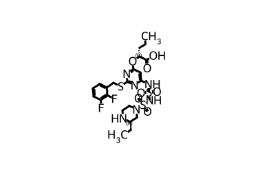 CCC[C@@H](Oc1cc(NS(=O)(=O)NS(=O)(=O)N2CCN[C@H](CC)C2)nc(SCc2cccc(F)c2F)n1)C(=O)O